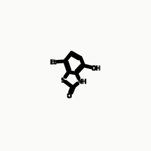 [CH2]Cc1ccc(O)c2[nH]c(=O)sc12